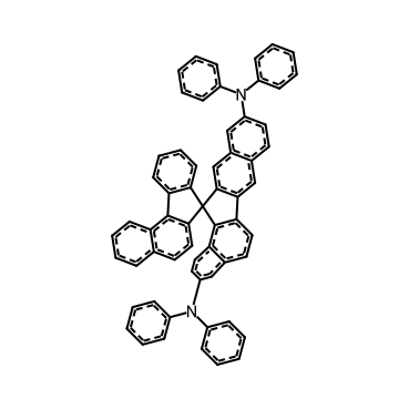 c1ccc(N(c2ccccc2)c2ccc3cc4c(cc3c2)C2(c3ccccc3-c3c2ccc2ccccc32)c2c-4ccc3cc(N(c4ccccc4)c4ccccc4)ccc23)cc1